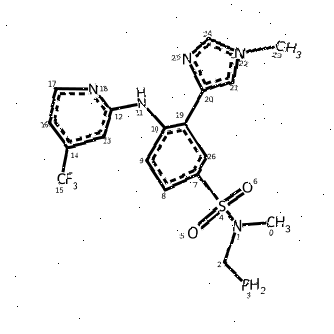 CN(CP)S(=O)(=O)c1ccc(Nc2cc(C(F)(F)F)ccn2)c(-c2cn(C)cn2)c1